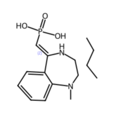 CCCC.CN1CCN/C(=C\P(=O)(O)O)c2ccccc21